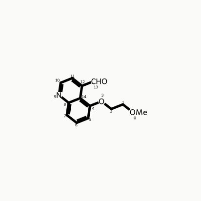 COCCOc1cccc2nccc(C=O)c12